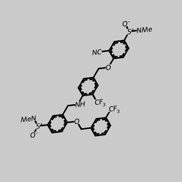 CN[S+]([O-])c1ccc(OCc2ccc(NCc3cc([S+]([O-])NC)ccc3OCc3cccc(C(F)(F)F)c3)c(C(F)(F)F)c2)c(C#N)c1